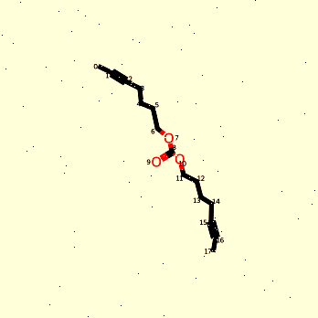 CC#CCCCCOC(=O)OCCCCC#CC